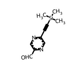 C[Si](C)(C)C#Cc1cnc(C=O)cn1